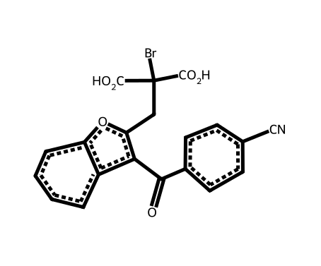 N#Cc1ccc(C(=O)c2c(CC(Br)(C(=O)O)C(=O)O)oc3ccccc23)cc1